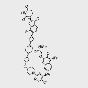 CNC(=O)COc1cc2cc(Nc3nc(N4CCC(OC5CC(N6CCN(C7CN(c8ccc9c(c8F)CN([C@@H]8CCC(=O)NC8=O)C9=O)C7)CC6)C5)CC4)ncc3Cl)ccc2n(C(C)C)c1=O